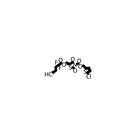 C#CCCC(F)(F)C(=O)O/C=C1\SC(=O)N(C(=O)OCc2ccc(Cl)s2)C1=O